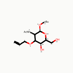 C=CCOC1C(NC(C)=O)[C@@H](OCCCC)OC(CO)[C@H]1O